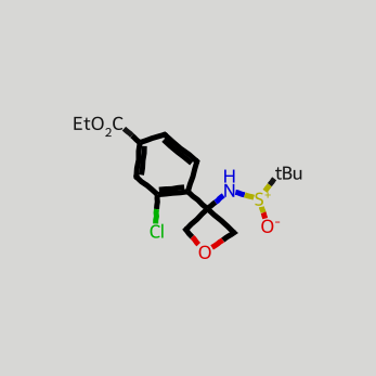 CCOC(=O)c1ccc(C2(N[S+]([O-])C(C)(C)C)COC2)c(Cl)c1